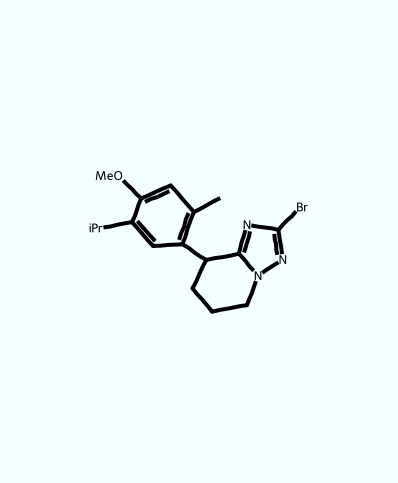 COc1cc(C)c(C2CCCn3nc(Br)nc32)cc1C(C)C